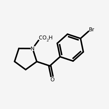 O=C(c1ccc(Br)cc1)C1CCCN1C(=O)O